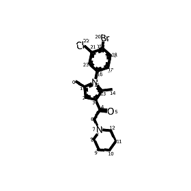 Cc1cc(C(=O)CN2CCCCC2)c(C)n1-c1ccc(Br)c(Cl)c1